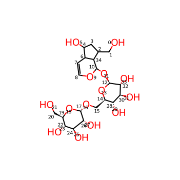 OCC1CC(O)C2C=COC(O[C@@H]3O[C@H](CO[C@H]4O[C@H](CO)[C@@H](O)[C@H](O)[C@H]4O)[C@@H](O)[C@H](O)[C@H]3O)C12